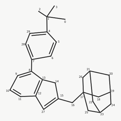 CC(C)(C)c1ccc(-c2cccc3c2CC(CC24CC5CC(CC(C5)C2)C4)=C3)cc1